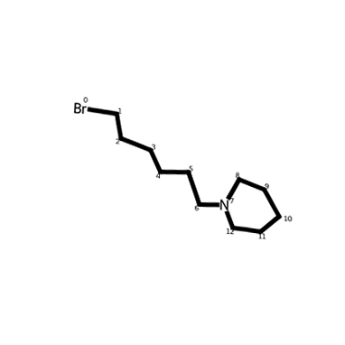 BrCCCCCCN1CCCCC1